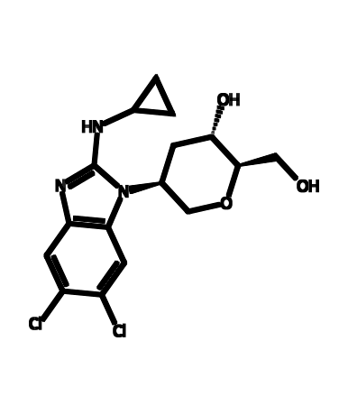 OC[C@H]1OC[C@@H](n2c(NC3CC3)nc3cc(Cl)c(Cl)cc32)C[C@@H]1O